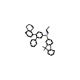 C/C=C/N(c1ccc(-c2cccc3c2C=CCC3)c(-c2ccccc2)c1)c1ccc2c(c1)C(C)(C)c1ccccc1-2